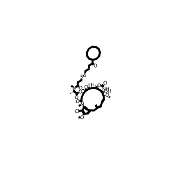 COc1cc2cc(c1Cl)N(C)C(=O)C[C@H](OC(=O)[C@H](C)N(C)C(=O)CCSSCCCC(=O)C1CCCCCCCCCC1)[C@]1(C)O[C@H]1[C@H](C)[C@@H]1C[C@@](O)(NC(=O)O1)[C@H](OC)/C=C/C=C(\C)C2